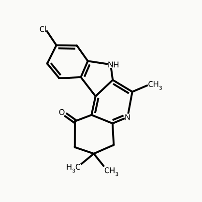 Cc1nc2c(c3c1[nH]c1cc(Cl)ccc13)C(=O)CC(C)(C)C2